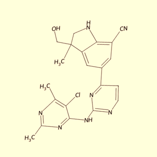 Cc1nc(C)c(Cl)c(Nc2nccc(-c3cc(C#N)c4c(c3)C(C)(CO)CN4)n2)n1